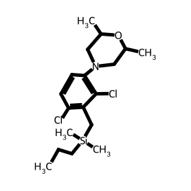 CCC[Si](C)(C)Cc1c(Cl)ccc(N2CC(C)OC(C)C2)c1Cl